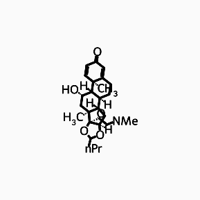 CCCC1O[C@@H]2C[C@H]3[C@@H]4CCC5=CC(=O)C=C[C@]5(C)[C@H]4[C@@H](O)C[C@]3(C)[C@]2(C(=O)CNC)O1